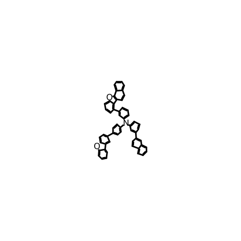 c1cc(-c2ccc3ccccc3c2)cc(N(c2ccc(-c3ccc4oc5ccccc5c4c3)cc2)c2cccc(-c3cccc4oc5c6ccccc6ccc5c34)c2)c1